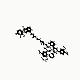 CC[C@H](C(=O)N1CCCC[C@H]1C(=O)O[C@H](CCc1ccc(OC)c(OC)c1)c1ccccc1OCC(=O)NCCCCNC(=O)COc1cccc2c1CN(C1CCC(=O)NC1=O)C2=O)c1cc(OC)c(OC)c(OC)c1